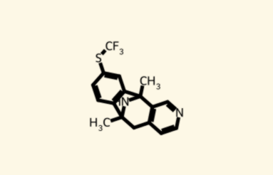 CC12Cc3ccncc3C(C)(N1)c1cc(SC(F)(F)F)ccc12